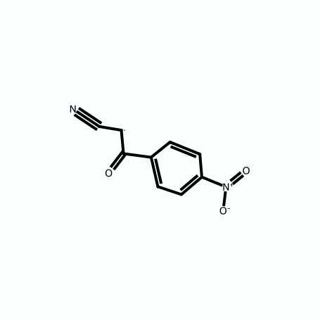 N#C[CH]C(=O)c1ccc([N+](=O)[O-])cc1